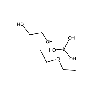 CCOCC.OB(O)O.OCCO